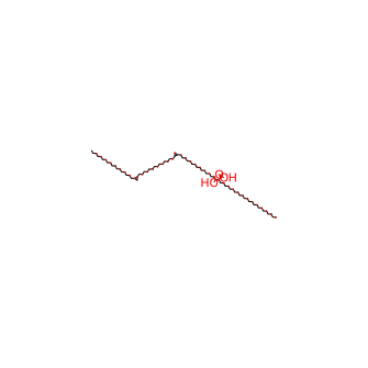 CCCCCCCCCCCCCCCCCCCCCCCCC(C(=O)O)C(O)CCCCCCCCCCCCCCCC1CC1CCCCCCCCCCCCCCC1CC1CCCCCCCCCCCCCCCCCC